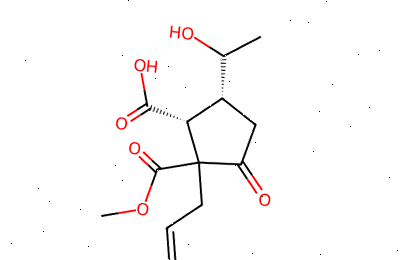 C=CCC1(C(=O)OC)C(=O)C[C@@H](C(C)O)[C@H]1C(=O)O